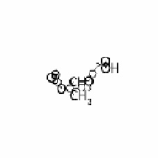 Cc1cc(OC2CCS(=O)(=O)CC2)cc(C)c1-c1cccc(COc2ccc(C3CC3C(=O)O)cc2)c1